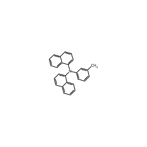 Cc1cccc(N(c2cccc3ccccc23)c2cccc3ccccc23)c1